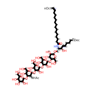 CCCCCCCC/C=C\CCCCCCCCCCCCCC(=O)N[C@@H](CO[C@@H]1OC(CO)[C@@H](O[C@@H]2OC(CO)[C@H](O)[C@H](O[C@H]3OC(CO)[C@H](O)[C@H](O[C@@H]4OC(CO)[C@H](O)[C@H](O[C@@H]5OC(CO)[C@H](O)[C@H](O)C5O)C4NC(C)=O)C3O)C2O)[C@H](O)C1O)[C@H](O)/C=C/CCCCCCCCCCCCC